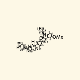 COc1ccc2c(c1)[C@]1(C[C@H]1c1ccc3c(c1)CN=C3Nc1nc(N3CCC(F)(F)CC3)ncc1C)C(=O)N2C(=O)OC(C)(C)C